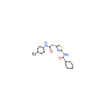 CCc1ccc(NC(=O)Cc2csc(NC(=O)c3ccccc3)n2)cc1